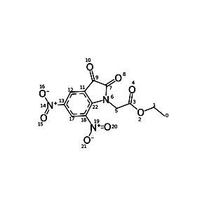 CCOC(=O)CN1C(=O)C(=O)c2cc([N+](=O)[O-])cc([N+](=O)[O-])c21